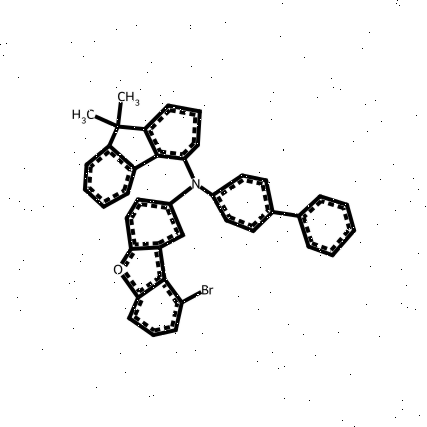 CC1(C)c2ccccc2-c2c(N(c3ccc(-c4ccccc4)cc3)c3ccc4oc5cccc(Br)c5c4c3)cccc21